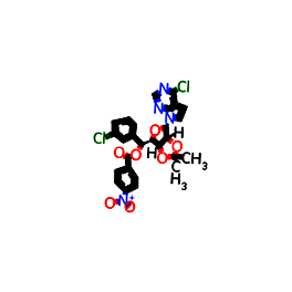 CC1(C)O[C@@H]2[C@H](O1)[C@@H](C(OC(=O)c1ccc([N+](=O)[O-])cc1)c1cccc(Cl)c1)O[C@H]2n1ccc2c(Cl)ncnc21